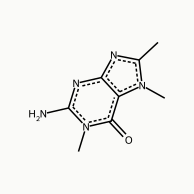 Cc1nc2nc(N)n(C)c(=O)c2n1C